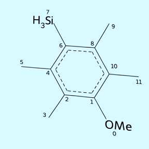 COc1c(C)c(C)c([SiH3])c(C)c1C